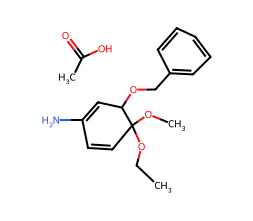 CC(=O)O.CCOC1(OC)C=CC(N)=CC1OCc1ccccc1